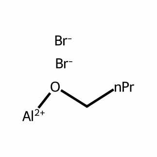 CCCC[O][Al+2].[Br-].[Br-]